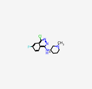 CN1CCC[C@@H](Nc2nnc(Cl)c3cc(F)ccc23)C1